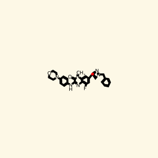 Cn1c(=O)c(Nc2ccc(N3CCOCC3)cc2)nc2c(F)cc(-c3cnn(Cc4ccccc4)c3)cc21